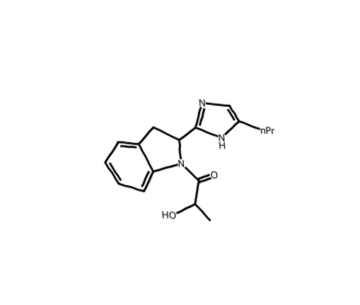 CCCc1cnc(C2Cc3ccccc3N2C(=O)C(C)O)[nH]1